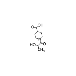 C[C@@H](O)C(=O)N1CCC(C(=O)O)CC1